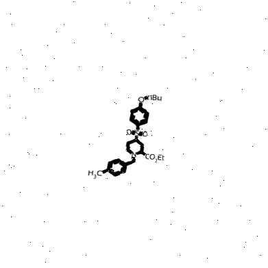 CCCCOc1ccc(S(=O)(=O)C2CCN(Cc3ccc(C)cc3)C(C(=O)OCC)C2)cc1